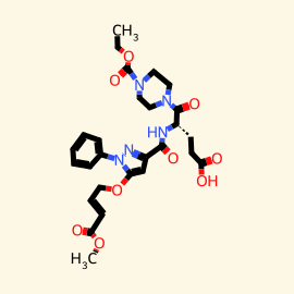 CCOC(=O)N1CCN(C(=O)[C@H](CCC(=O)O)NC(=O)c2cc(OC/C=C/C(=O)OC)n(-c3ccccc3)n2)CC1